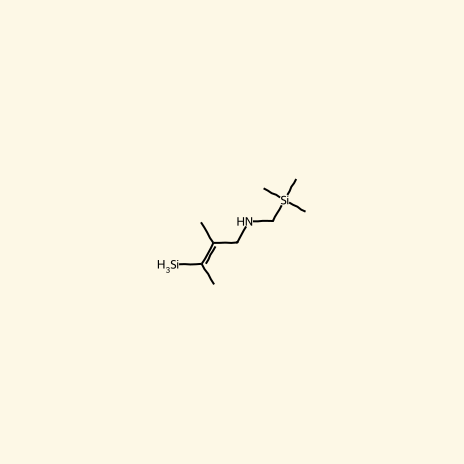 CC([SiH3])=C(C)CNC[Si](C)(C)C